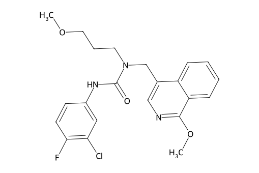 COCCCN(Cc1cnc(OC)c2ccccc12)C(=O)Nc1ccc(F)c(Cl)c1